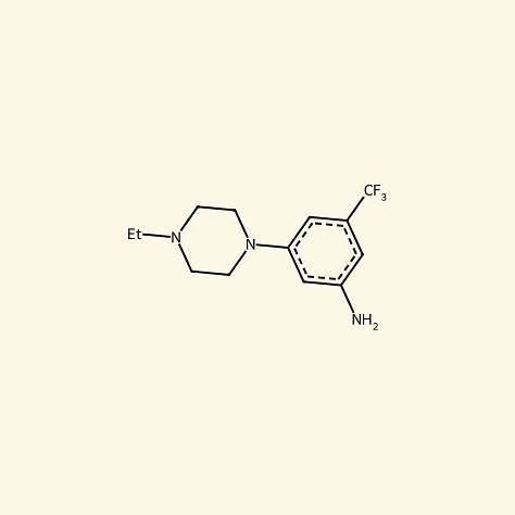 CCN1CCN(c2cc(N)cc(C(F)(F)F)c2)CC1